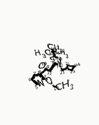 CCOc1ncccc1C(=O)/C=C1\SC(C(C)(C)C)=NN1CC1CCC1